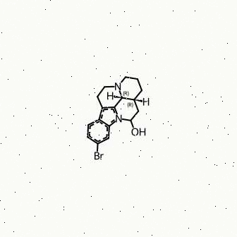 OC1C[C@H]2CCCN3CCc4c(n1c1cc(Br)ccc41)[C@@H]23